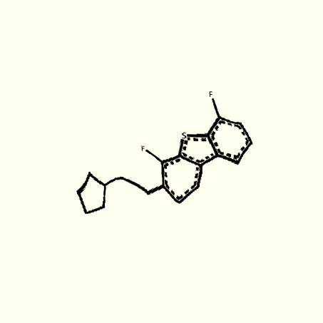 Fc1cccc2c1sc1c(F)c(CCC3CCCC3)ccc12